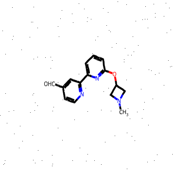 CN1CC(Oc2cccc(-c3cc(C=O)ccn3)n2)C1